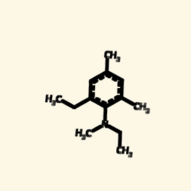 CCc1cc(C)cc(C)c1N(C)CC